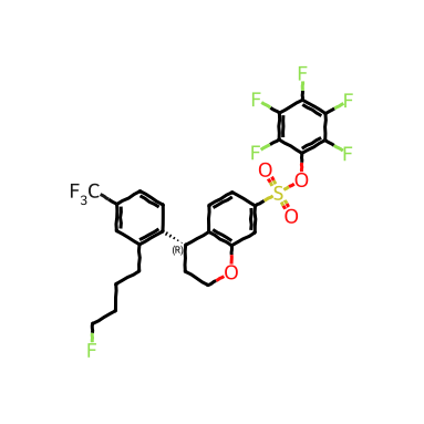 O=S(=O)(Oc1c(F)c(F)c(F)c(F)c1F)c1ccc2c(c1)OCC[C@@H]2c1ccc(C(F)(F)F)cc1CCCCF